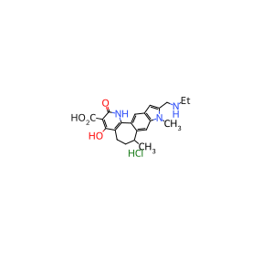 CCNCc1cc2cc3c(cc2n1C)C(C)CCc1c-3[nH]c(=O)c(C(=O)O)c1O.Cl